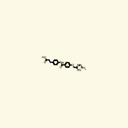 N=C(COc1ccc(C(=O)Nc2ccc(CCC(=O)O)cc2)cc1)/N=N\N